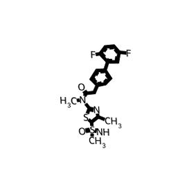 CC1N=C(N(C)C(=O)Cc2ccc(-c3cc(F)ccc3F)cc2)SC1S(C)(=N)=O